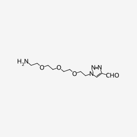 NCCOCCOCCOCCn1cc(C=O)nn1